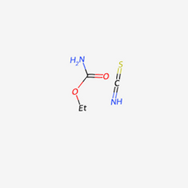 CCOC(N)=O.N=C=S